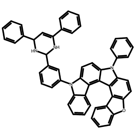 C1=C(c2ccccc2)NC(c2cccc(-n3c4ccccc4c4c5c6c7c(ccc6n(-c6ccccc6)c5ccc43)oc3ccccc37)c2)NC1c1ccccc1